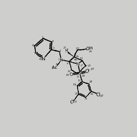 CC(=O)N(Cc1ccccn1)C12CCCC([C@H]1CO)N2S(=O)(=O)c1cc(Cl)cc(Cl)c1